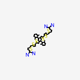 Cc1cccc(C)c1-c1c2cc(-c3ccc(/C=c4/ccc(=C(C#N)C#N)s4)s3)sc2c(-c2c(C)cccc2C)c2cc(-c3ccc(/C=c4/ccc(=C(C#N)C#N)s4)s3)sc12